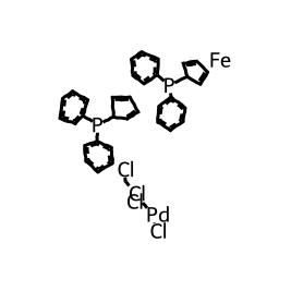 C1=CC(P(c2ccccc2)c2ccccc2)C=C1.C1=CC(P(c2ccccc2)c2ccccc2)C=C1.ClCCl.[Cl][Pd][Cl].[Fe]